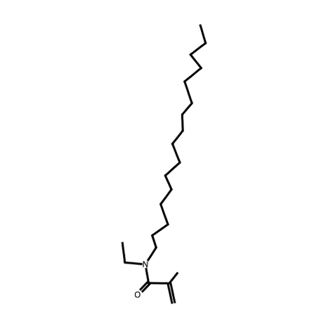 C=C(C)C(=O)N(CC)CCCCCCCCCCCCCCCC